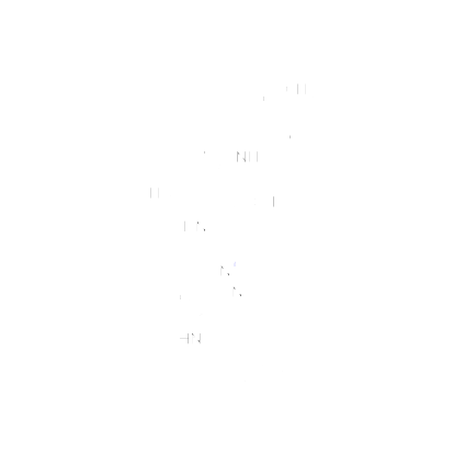 COC(=O)CNC(=O)c1c(C)[nH]c(/C=N/N=C2\C(=O)Nc3ccc(F)cc32)c1C